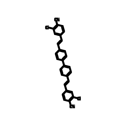 N#Cc1ccc(C=Cc2ccc(-c3ccc(C=Cc4ccc(C#N)c(Cl)c4)cc3)cc2)cc1Cl